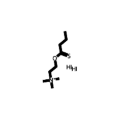 CCCC(=S)OCC[N+](C)(C)C.I.I